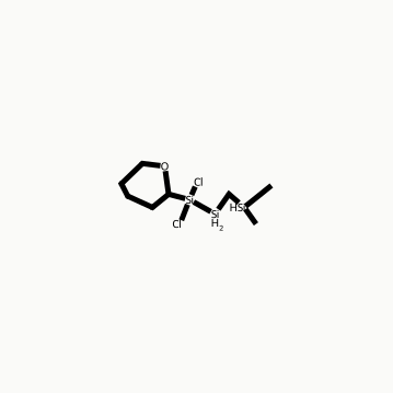 C[SiH](C)C[SiH2][Si](Cl)(Cl)C1CCCCO1